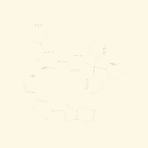 c1ccc(-c2nc(-c3cccc(-c4cccc(-c5cn6ccccc6n5)c4)c3)nc(-c3ccc4c(c3)-c3ccccc3C43c4ccccc4-c4ccccc43)n2)cc1